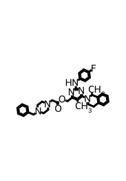 Cc1c(COC(=O)CN2CCN(Cc3ccccc3)CC2)nc(Nc2ccc(F)cc2)nc1N1CCc2ccccc2C1C